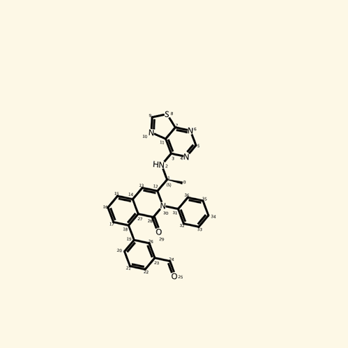 C[C@H](Nc1ncnc2scnc12)c1cc2cccc(-c3cccc(C=O)c3)c2c(=O)n1-c1ccccc1